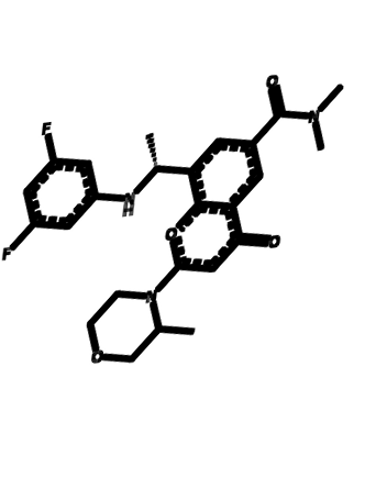 CC1COCCN1c1cc(=O)c2cc(C(=O)N(C)C)cc([C@@H](C)Nc3cc(F)cc(F)c3)c2o1